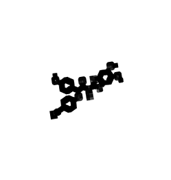 COc1ccc(C(Oc2ccc(C#N)cc2)C(=O)Nc2nc3cc(OC)c(OC)cc3s2)cc1